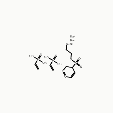 C=CP(=O)(O)O.C=CP(=O)(O)O.CCCCCCCCCCCCOS(=O)(=O)C1C=C[C-]=[C-]C1.[Na+].[Na+]